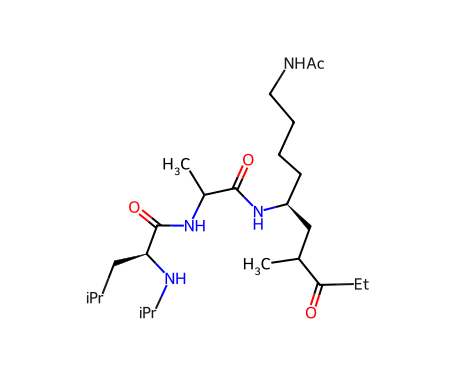 CCC(=O)C(C)C[C@H](CCCCNC(C)=O)NC(=O)C(C)NC(=O)[C@H](CC(C)C)NC(C)C